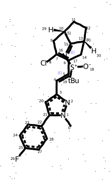 Cn1nc(/C=C/C2=C(Cl)C[C@@H]3CC[C@H](C2)/C3=N\[S+]([O-])C(C)(C)C)cc1-c1ccc(F)cc1